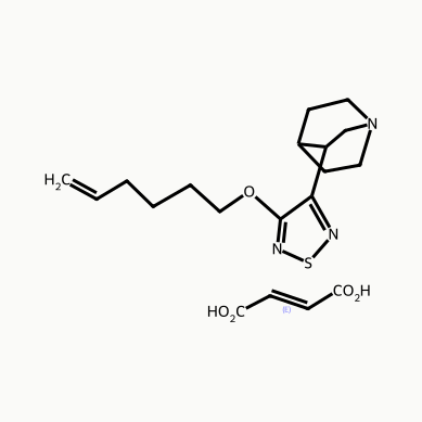 C=CCCCCOc1nsnc1C1CN2CCC1CC2.O=C(O)/C=C/C(=O)O